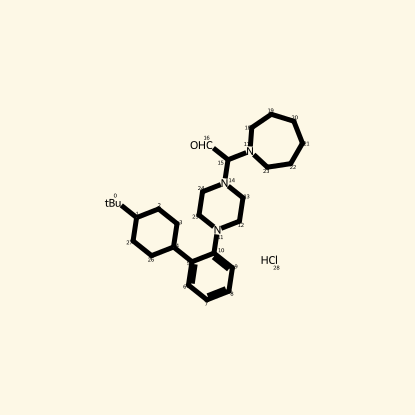 CC(C)(C)C1CCC(c2ccccc2N2CCN(C(C=O)N3CCCCCC3)CC2)CC1.Cl